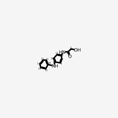 O=C(CO)Nc1ccc(Nc2ccccc2)cc1